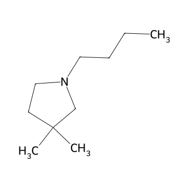 CCCCN1CCC(C)(C)C1